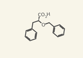 O=C(O)[C@H](Cc1ccccc1)OCc1ccccc1